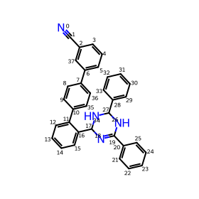 N#Cc1cccc(-c2ccc(-c3ccccc3C3N=C(c4ccccc4)NC(c4ccccc4)N3)cc2)c1